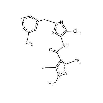 Cc1nc(Cc2cccc(C(F)(F)F)c2)sc1NC(=O)c1c(C(F)(F)F)nn(C)c1Cl